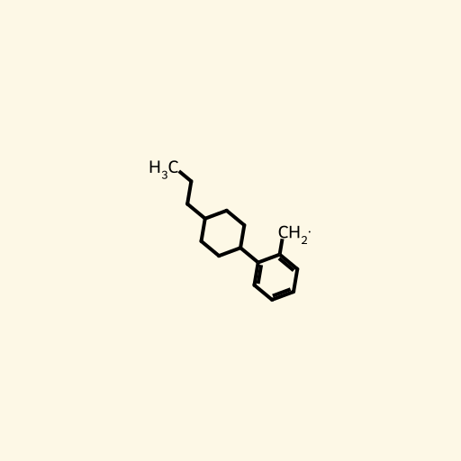 [CH2]c1ccccc1C1CCC(CCC)CC1